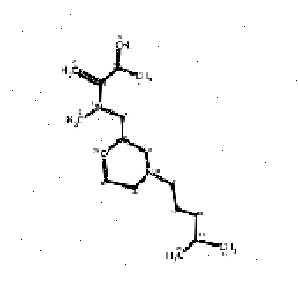 C=C(C(C)C)N(C)C[C@H]1CN(CCCC(C)C)CCO1